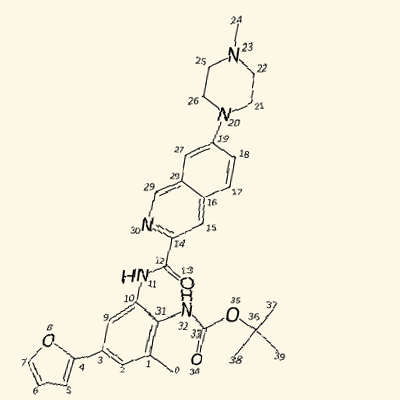 Cc1cc(-c2ccco2)cc(NC(=O)c2cc3ccc(N4CCN(C)CC4)cc3cn2)c1NC(=O)OC(C)(C)C